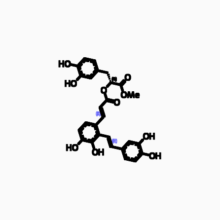 COC(=O)[C@@H](Cc1ccc(O)c(O)c1)OC(=O)/C=C/c1ccc(O)c(O)c1/C=C/c1ccc(O)c(O)c1